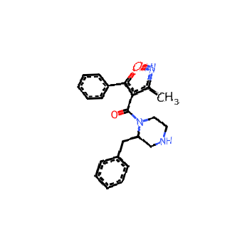 Cc1noc(-c2ccccc2)c1C(=O)N1CCNCC1Cc1ccccc1